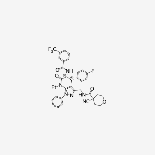 CCN1C(=O)[C@H](NC(=O)c2cccc(C(F)(F)F)c2)[C@H](c2ccc(F)cc2)c2c(CNC(=O)C3(C#N)CCOCC3)nn(-c3ccccc3)c21